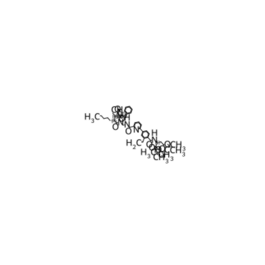 C=Cc1cc(-c2cccc(C(=O)NCNC(=O)[C@H](CCCCC)[C@@H](CC)N(C=O)OCc3ccccc3)n2)ccc1C(=O)N[C@@H](CC(=O)OC(C)(C)C)C(=O)OC(C)(C)C